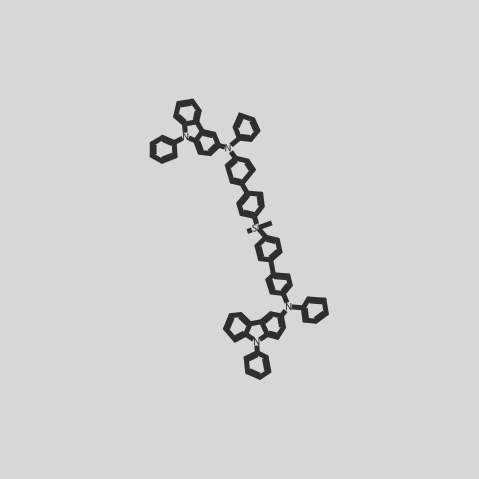 C[Si](C)(c1ccc(-c2ccc(N(c3ccccc3)c3ccc4c(c3)c3ccccc3n4-c3ccccc3)cc2)cc1)c1ccc(-c2ccc(N(c3ccccc3)c3ccc4c(c3)c3ccccc3n4-c3ccccc3)cc2)cc1